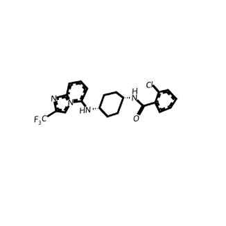 O=C(N[C@H]1CC[C@@H](Nc2cccc3nc(C(F)(F)F)cn23)CC1)c1ccccc1Cl